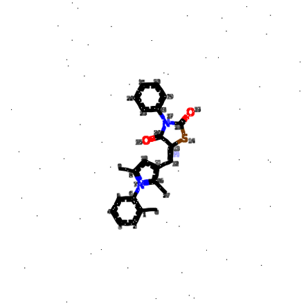 Cc1ccccc1-n1c(C)cc(/C=C2/SC(=O)N(c3ccccc3)C2=O)c1C